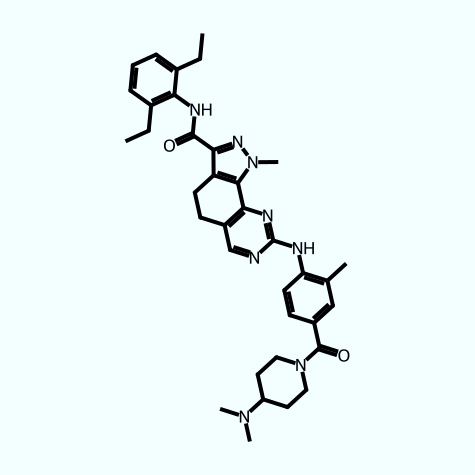 CCc1cccc(CC)c1NC(=O)c1nn(C)c2c1CCc1cnc(Nc3ccc(C(=O)N4CCC(N(C)C)CC4)cc3C)nc1-2